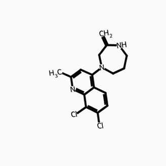 C=C1CN(c2cc(C)nc3c(Cl)c(Cl)ccc23)CCCN1